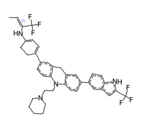 C/C=C(\NC1=CC=C(c2ccc3c(c2)Cc2cc(-c4ccc5[nH]c(C(F)(F)F)cc5c4)ccc2N3CCN2CCCCC2)CC1)C(F)(F)F